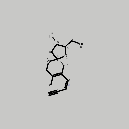 C#C/C=C\C1=C(C)CO[C@@]2(C1)C[C@H](O)[C@@H](CO)O2